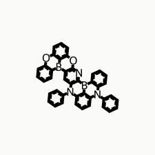 c1ccc(N2c3ccccc3B3c4nc5c(cc4N(c4ccccc4)c4cccc2c43)B2c3ccccc3Oc3cccc(c32)O5)cc1